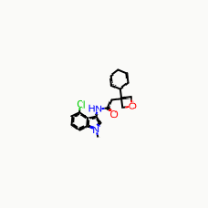 Cn1cc(NC(=O)CC2(C3CCCCC3)COC2)c2c(Cl)cccc21